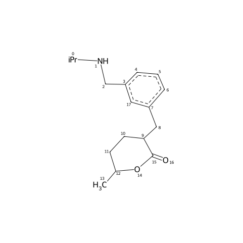 CC(C)NCc1cccc(CC2CCC(C)OC2=O)c1